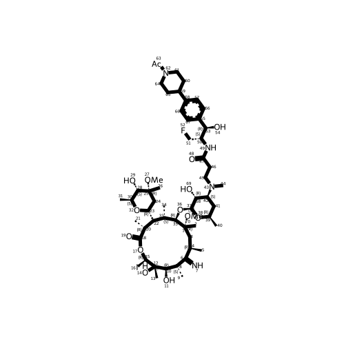 CO[C@]1(C)C[C@@H](C)C(=N)[C@H](C)[C@@H](O)[C@](C)(O)[C@@H](I)OC(=O)[C@H](C)C([C@H]2C[C@@](C)(OC)[C@@H](O)[C@H](C)O2)[C@H](C)[C@H]1O[C@@H]1O[C@H](C)C[C@H](N(C)CCC(=O)N[C@H](CF)[C@H](O)c2ccc(C3CCN(C(C)=O)CC3)cc2)[C@H]1O